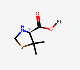 CCOC(=O)[C@@H]1NCSC1(C)C